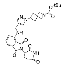 CC(C)(C)OC(=O)N1CC2(CC(n3cc(CNc4cccc5c4C(=O)N(C4CCC(=O)NC4=O)C5=O)cn3)C2)C1